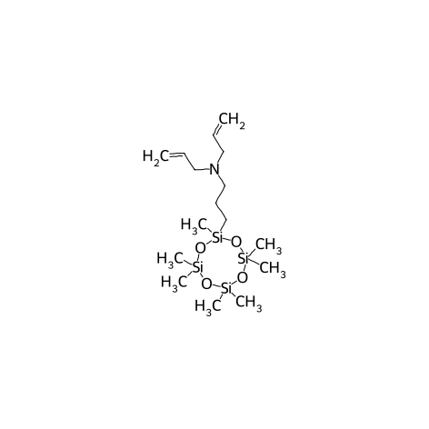 C=CCN(CC=C)CCC[Si]1(C)O[Si](C)(C)O[Si](C)(C)O[Si](C)(C)O1